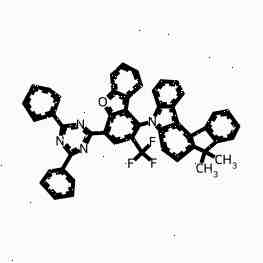 CC1(C)c2ccccc2-c2c1ccc1c2c2ccccc2n1-c1c(C(F)(F)F)cc(-c2nc(-c3ccccc3)nc(-c3ccccc3)n2)c2oc3ccccc3c12